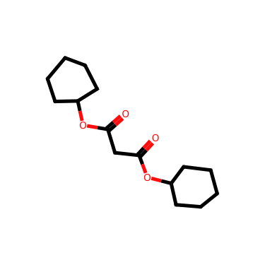 O=C(CC(=O)OC1CCCCC1)OC1CCCCC1